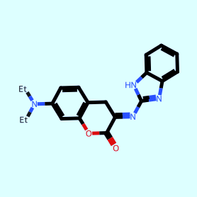 CCN(CC)c1ccc2c(c1)OC(=O)C(=Nc1nc3ccccc3[nH]1)C2